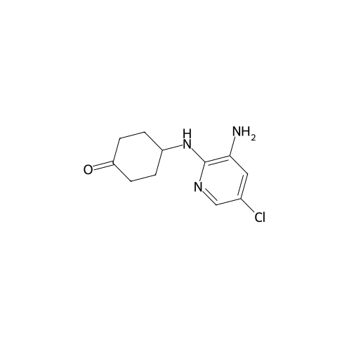 Nc1cc(Cl)cnc1NC1CCC(=O)CC1